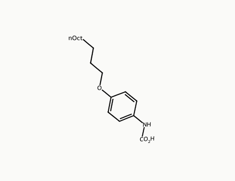 CCCCCCCCCCCOc1ccc(NC(=O)O)cc1